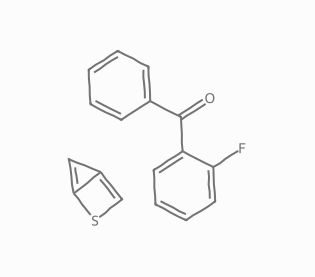 O=C(c1ccccc1)c1ccccc1F.c1sc2cc1-2